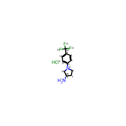 Cl.N[C@@H]1CCN(c2ccc(C(F)(F)F)cc2)C1